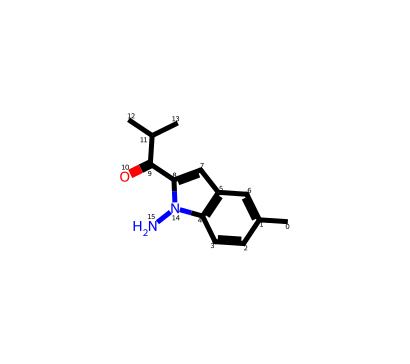 Cc1ccc2c(c1)cc(C(=O)C(C)C)n2N